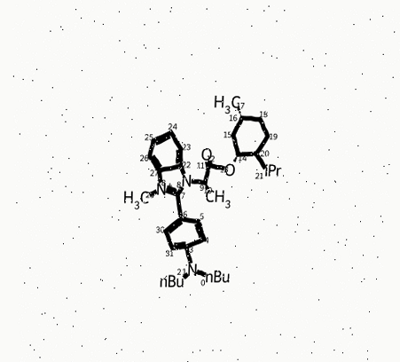 CCCCN(CCCC)c1ccc(-c2n([C@H](C)C(=O)O[C@@H]3C[C@H](C)CCC3C(C)C)c3ccccc3[n+]2C)cc1